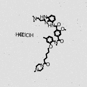 COc1cc(C(=O)N(C)c2ccc(C)cc2OCCCCCC(=O)N2CCN(C)CC2)ccc1C(=O)Nc1cccc2[nH]c(CCN(C)C)nc12.Cl.Cl.Cl